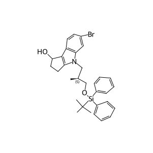 C[C@H](CO[Si](c1ccccc1)(c1ccccc1)C(C)(C)C)Cn1c2c(c3ccc(Br)cc31)C(O)CC2